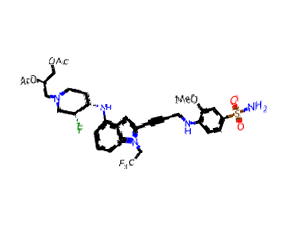 COc1cc(S(N)(=O)=O)ccc1NCC#Cc1cc2c(N[C@H]3CCN(C[C@H](COC(C)=O)OC(C)=O)C[C@H]3F)cccc2n1CC(F)(F)F